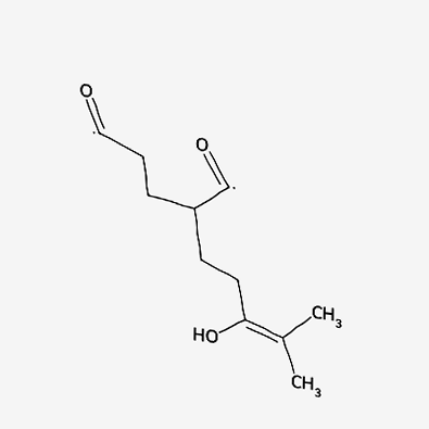 CC(C)=C(O)CCC([C]=O)CC[C]=O